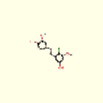 COc1cc(C=Cc2cc(O)cc(OC)c2Br)ccc1O